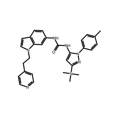 Cc1ccc(-n2nc([Si](C)(C)C)cc2NC(=O)Nc2ccc3ccn(CCc4ccncc4)c3c2)cc1